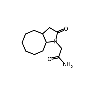 NC(=O)CN1C(=O)CC2CCCCCCC21